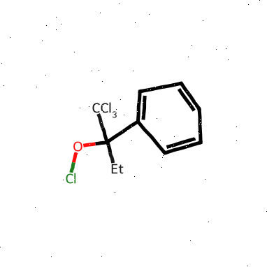 CCC(OCl)(c1ccccc1)C(Cl)(Cl)Cl